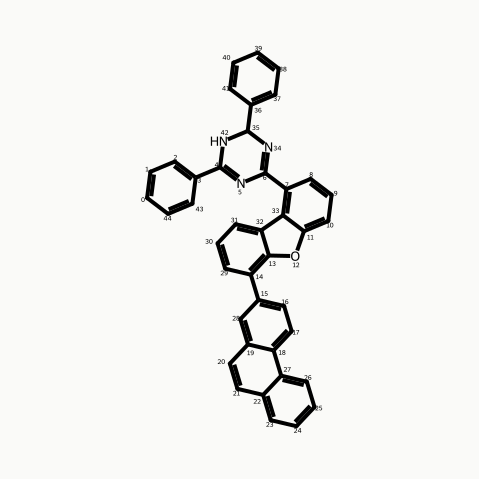 c1ccc(C2=NC(c3cccc4oc5c(-c6ccc7c(ccc8ccccc87)c6)cccc5c34)=NC(c3ccccc3)N2)cc1